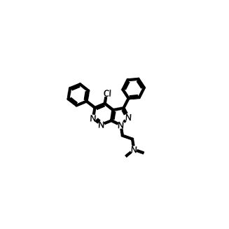 CN(C)CCn1nc(-c2ccccc2)c2c(Cl)c(-c3ccccc3)nnc21